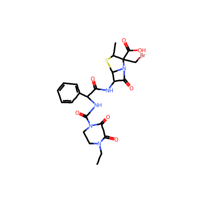 CCN1CCN(C(=O)NC(C(=O)NC2C(=O)N3C2SC(C)C3(CBr)C(=O)O)c2ccccc2)C(=O)C1=O